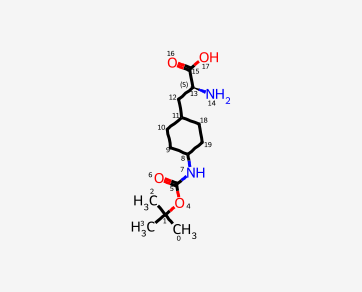 CC(C)(C)OC(=O)NC1CCC(C[C@H](N)C(=O)O)CC1